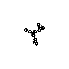 CC1(C)c2ccccc2-c2ccc(-c3ccc4c(c3)c3cc(-c5ccc6c7ccccc7n(-c7ccccc7)c6c5)ccc3n4-c3ccc(-c4ccccc4)cc3)cc21